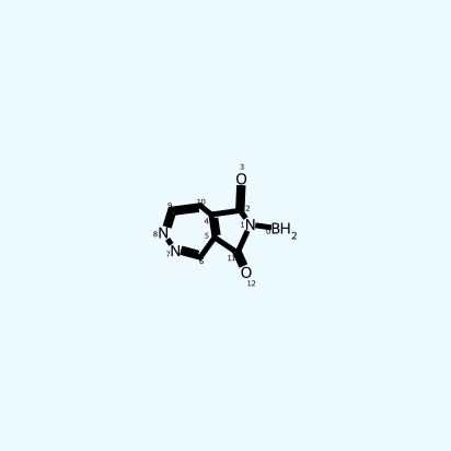 BN1C(=O)C2=C(C=NN=C=C2)C1=O